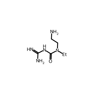 CCN(CCN)C(=O)NC(=N)N